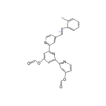 Cc1ccccc1/C=C/c1ccnc(-c2cc(OC=O)cc(-c3cc(OC=O)ccn3)n2)c1